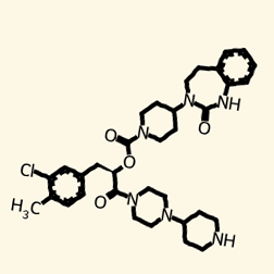 Cc1ccc(C[C@@H](OC(=O)N2CCC(N3CCc4ccccc4NC3=O)CC2)C(=O)N2CCN(C3CCNCC3)CC2)cc1Cl